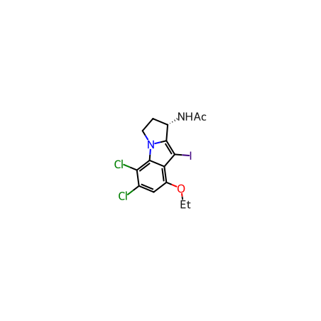 CCOc1cc(Cl)c(Cl)c2c1c(I)c1n2CC[C@@H]1NC(C)=O